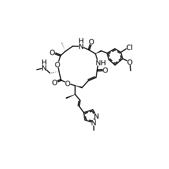 CNC[C@@H]1OC(=O)[C@H](C)CNC(=O)[C@@H](Cc2ccc(OC)c(Cl)c2)NC(=O)/C=C/C[C@@H]([C@H](C)/C=C/c2cnn(C)c2)OC1=O